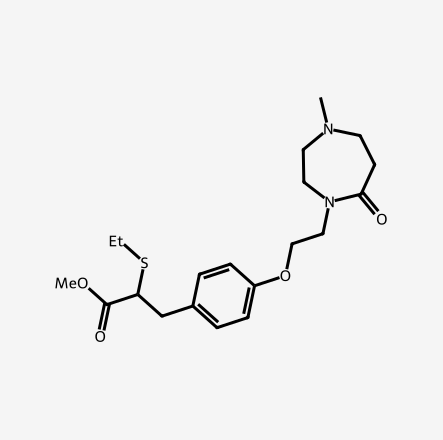 CCSC(Cc1ccc(OCCN2CCN(C)CCC2=O)cc1)C(=O)OC